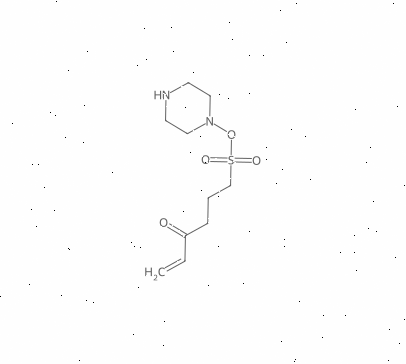 C=CC(=O)CCCS(=O)(=O)ON1CCNCC1